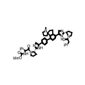 COC(=O)NC(C(=O)N1CCC[C@H]1c1ncc(-c2ccc(-c3ccc(-c4cnc([C@@H]5CCCN5C(=O)CC(C)C)[nH]4)c4c3C3(CCCN3C)CC4)cc2)[nH]1)C(C)C